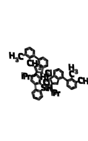 Cc1cccc(-c2cccc3c2C=C(CC(C)C)[CH]3[Hf]([Cl])([Cl])([c]2cccc3c2[SiH2]c2ccccc2-3)[CH]2C(CC(C)C)=Cc3c(-c4cccc(C)c4C)cccc32)c1C